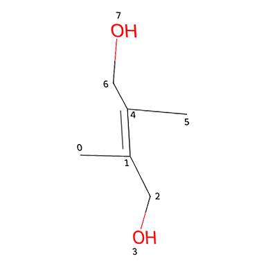 C/C(CO)=C(/C)CO